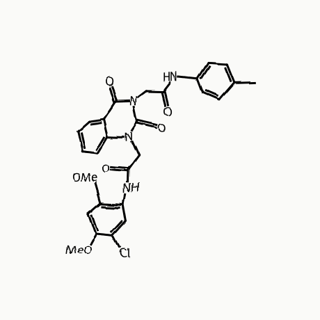 COc1cc(OC)c(NC(=O)Cn2c(=O)n(CC(=O)Nc3ccc(C)cc3)c(=O)c3ccccc32)cc1Cl